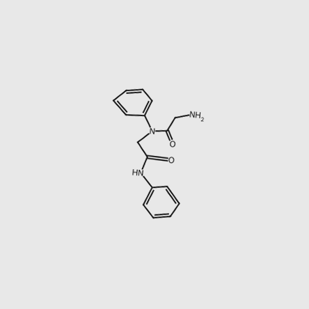 NCC(=O)N(CC(=O)Nc1ccccc1)c1ccccc1